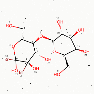 OC[C@H]1O[C@@H](O[C@@H]2[C@@H](CO)OC(O)(Br)[C@@](O)(Br)[C@H]2O)[C@H](O)[C@@H](O)[C@H]1O